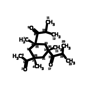 CC(=O)[C@]1(C)C[C@](C)(C(=O)C(C)C)C[C@](C)(C(=O)C(C)C)C1